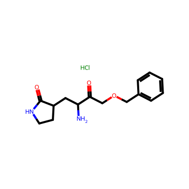 Cl.NC(CC1CCNC1=O)C(=O)COCc1ccccc1